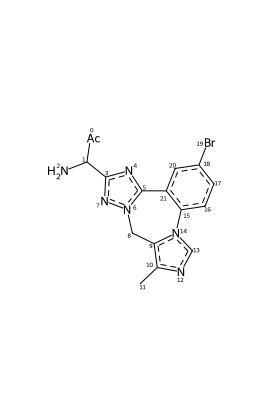 CC(=O)C(N)c1nc2n(n1)Cc1c(C)ncn1-c1ccc(Br)cc1-2